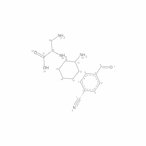 N#Cc1ccc(C=O)cc1.NC1CCCCC1.NCC(N)C(=O)O